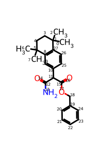 CC1(C)CCC(C)(C)c2cc(C(C(N)=O)C(=O)OCc3ccccc3)ccc21